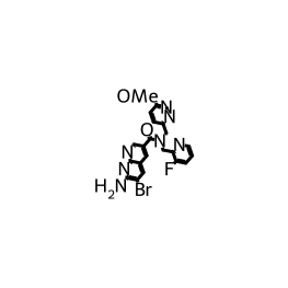 COc1ccc(CN(Cc2ncccc2F)C(=O)c2cnc3nc(N)c(Br)cc3c2)nn1